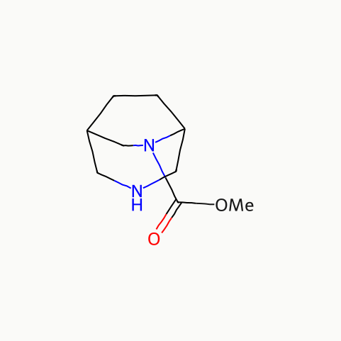 COC(=O)N1CC2CCC1CNC2